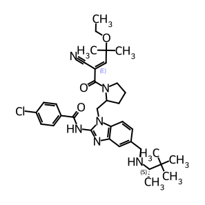 CCOC(C)(C)/C=C(\C#N)C(=O)N1CCCC1Cn1c(NC(=O)c2ccc(Cl)cc2)nc2cc(CN[C@@H](C)C(C)(C)C)ccc21